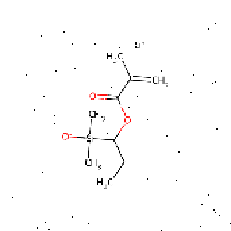 C=C(C)C(=O)OC(CC)[Si](C)(C)[O-].[Li+]